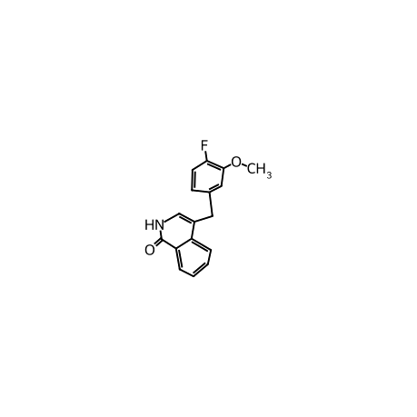 COc1cc(Cc2c[nH]c(=O)c3ccccc23)ccc1F